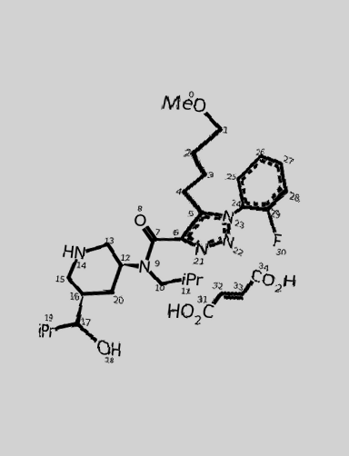 COCCCCc1c(C(=O)N(CC(C)C)[C@@H]2CNC[C@H](C(O)C(C)C)C2)nnn1-c1ccccc1F.O=C(O)C=CC(=O)O